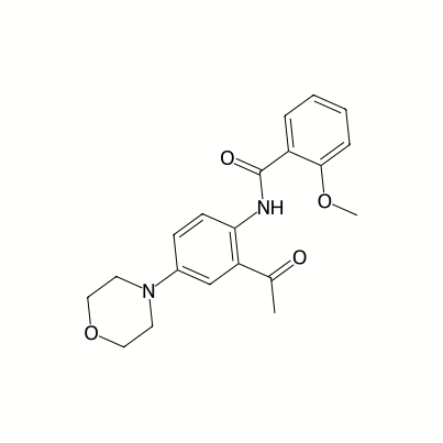 COc1ccccc1C(=O)Nc1ccc(N2CCOCC2)cc1C(C)=O